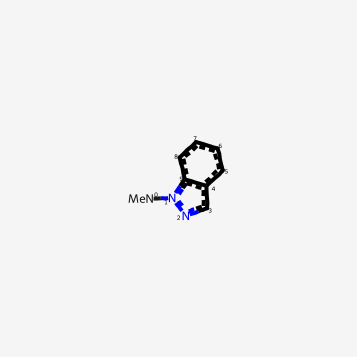 CNn1ncc2ccccc21